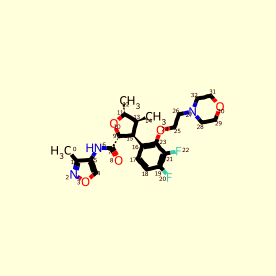 Cc1nocc1NC(=O)[C@@H]1O[C@H](C)[C@@H](C)[C@H]1c1ccc(F)c(F)c1OCCN1CCOCC1